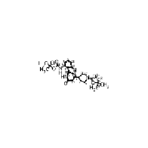 CC(C)(C)OC(=O)Nc1cccc2nn3c(C4CCN(C(=O)OC(C)(C)C)CC4)cc(=O)[nH]c3c12